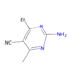 CCc1nc(N)nc(C)c1C#N